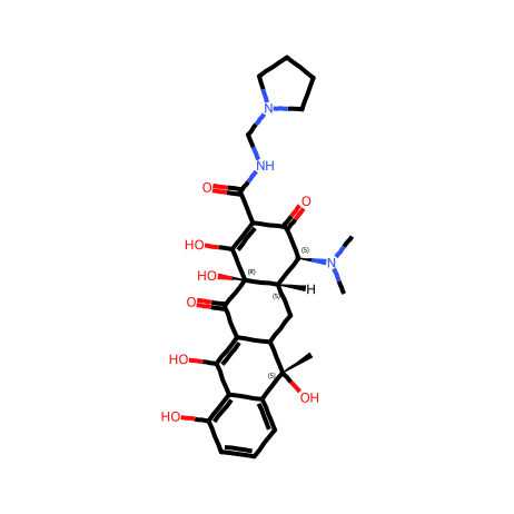 CN(C)[C@@H]1C(=O)C(C(=O)NCN2CCCC2)=C(O)[C@@]2(O)C(=O)C3=C(O)c4c(O)cccc4[C@@](C)(O)C3C[C@@H]12